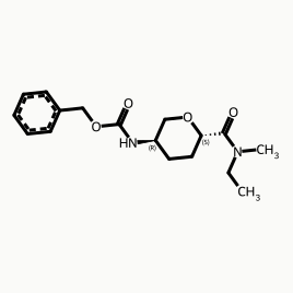 CCN(C)C(=O)[C@@H]1CC[C@@H](NC(=O)OCc2ccccc2)CO1